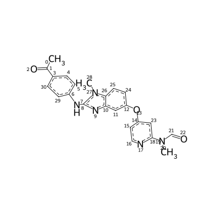 CC(=O)c1ccc(Nc2nc3cc(Oc4ccnc(N(C)C=O)c4)ccc3n2C)cc1